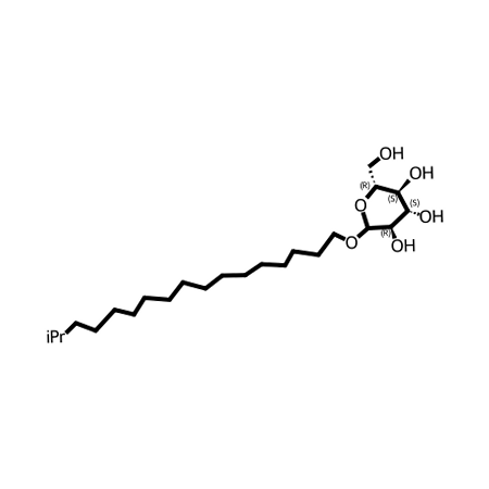 CC(C)CCCCCCCCCCCCCCCOC1O[C@H](CO)[C@@H](O)[C@H](O)[C@H]1O